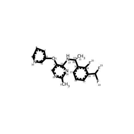 Cc1ncc(Oc2cccnc2)c(N[C@H](C)c2cccc(C(F)F)c2F)n1